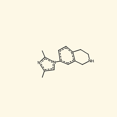 Cc1cn(-c2ccc3c(c2)CNCC3)c(C)n1